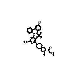 COCC(=O)[C@@H]1CC2(CCN(c3cc(O[C@H](c4ccc(Cl)cc4-c4ccccc4)C(F)(F)F)nc(N)n3)CC2)CN1